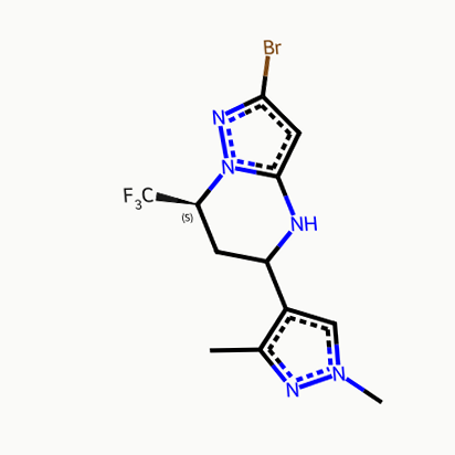 Cc1nn(C)cc1C1C[C@@H](C(F)(F)F)n2nc(Br)cc2N1